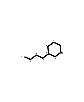 I[CH]CCC1CCCCC1